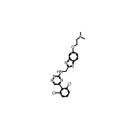 CN(C)CCOc1ccc2sc(CNc3nncc(-c4c(Cl)cccc4Cl)n3)nc2c1